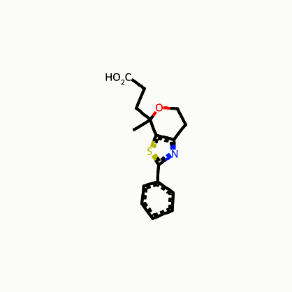 CC1(CCC(=O)O)OCCc2nc(-c3ccccc3)sc21